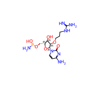 N=C(N)NCCCO[C@@H]1[C@H](O)[C@@H](COP(N)O)O[C@H]1n1ccc(N)nc1=O